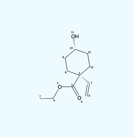 C=C[C@]1(C(=O)OCC)CC[C@H](O)CC1